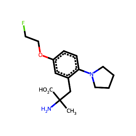 CC(N)(Cc1cc(OCCF)ccc1N1CCCC1)C(=O)O